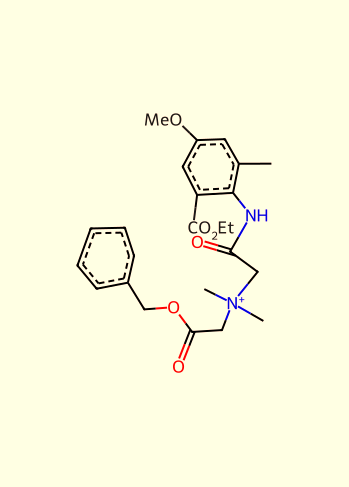 CCOC(=O)c1cc(OC)cc(C)c1NC(=O)C[N+](C)(C)CC(=O)OCc1ccccc1